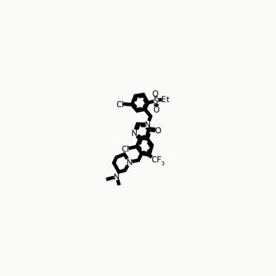 CCS(=O)(=O)c1ccc(Cl)cc1Cn1cnc2c(Cl)c(CN3CCC[C@H](N(C)C)C3)c(C(F)(F)F)cc2c1=O